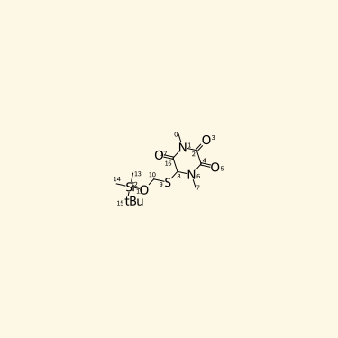 CN1C(=O)C(=O)N(C)C(SCO[Si](C)(C)C(C)(C)C)C1=O